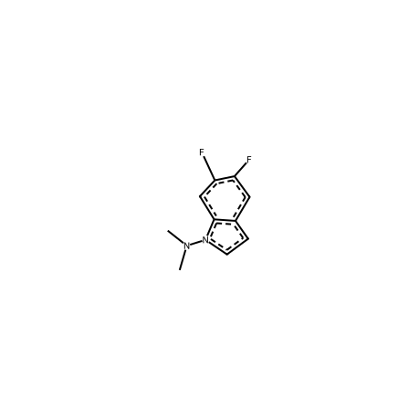 CN(C)n1ccc2cc(F)c(F)cc21